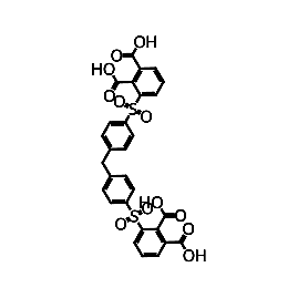 O=C(O)c1cccc(S(=O)(=O)c2ccc(Cc3ccc(S(=O)(=O)c4cccc(C(=O)O)c4C(=O)O)cc3)cc2)c1C(=O)O